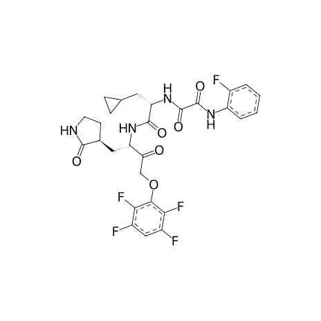 O=C(Nc1ccccc1F)C(=O)N[C@@H](CC1CC1)C(=O)N[C@@H](C[C@@H]1CCNC1=O)C(=O)COc1c(F)c(F)cc(F)c1F